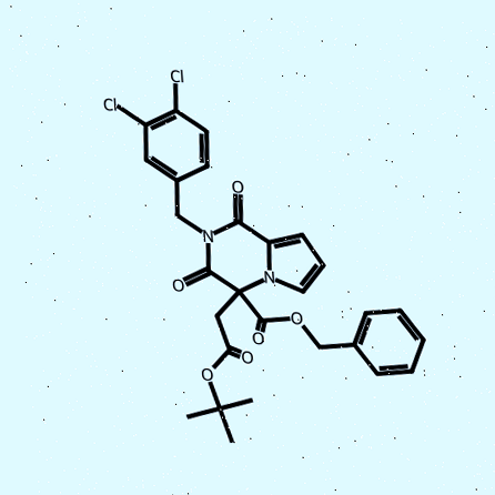 CC(C)(C)OC(=O)CC1(C(=O)OCc2ccccc2)C(=O)N(Cc2ccc(Cl)c(Cl)c2)C(=O)c2cccn21